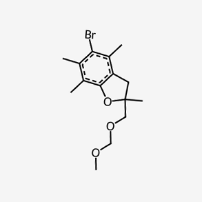 COCOCC1(C)Cc2c(C)c(Br)c(C)c(C)c2O1